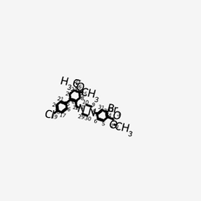 COC(=O)c1ccc(N2CCN(CC3=C(c4ccc(Cl)cc4)CCC(C)(OC)C3)CC2)cc1Br